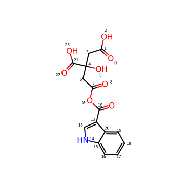 O=C(O)CC(O)(CC(=O)OC(=O)c1c[nH]c2ccccc12)C(=O)O